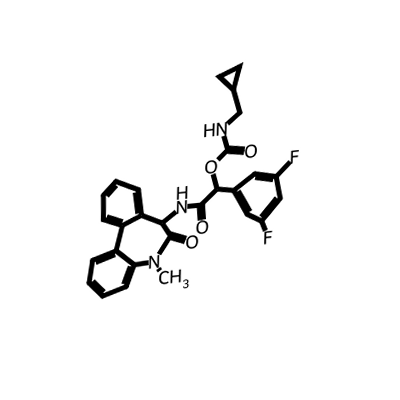 CN1C(=O)C(NC(=O)C(OC(=O)NCC2CC2)c2cc(F)cc(F)c2)c2ccccc2-c2ccccc21